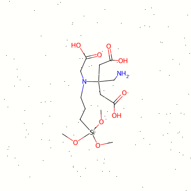 CO[Si](CCCN(CC(=O)O)C(CN)(CC(=O)O)CC(=O)O)(OC)OC